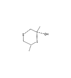 CC1CSCC(C)(O)S1